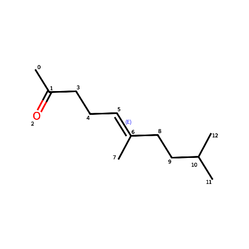 CC(=O)CC/C=C(\C)CCC(C)C